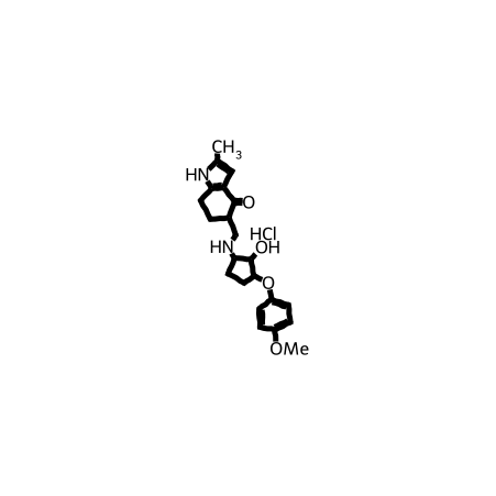 COc1ccc(OC2CCC(NCC3CCc4[nH]c(C)cc4C3=O)C2O)cc1.Cl